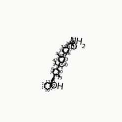 CCC(CC)(c1ccc(C#CC2(O)CCCCC2)c(C)c1)c1ccc(-c2ccc(CC(N)=O)cc2)c(C)c1